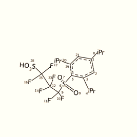 CC(C)c1cc(C(C)C)c(S(=O)(=O)C(F)(F)C(F)(F)C(F)(F)S(=O)(=O)O)c(C(C)C)c1